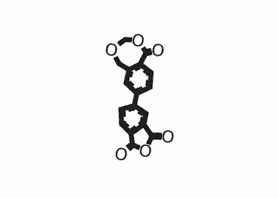 O=C1OCOCc2cc(-c3ccc4c(c3)C(=O)OC4=O)ccc21